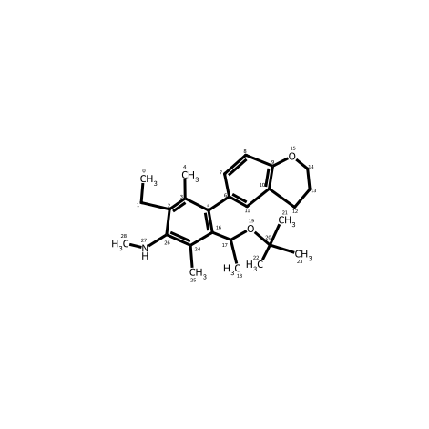 CCc1c(C)c(-c2ccc3c(c2)CCCO3)c(C(C)OC(C)(C)C)c(C)c1NC